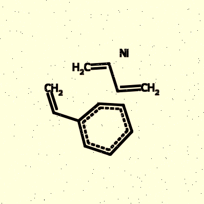 C=CC=C.C=Cc1ccccc1.[Ni]